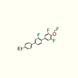 CCc1ccc(-c2ccc(-c3cc(F)c(OCF)c(F)c3)c(F)c2)cc1